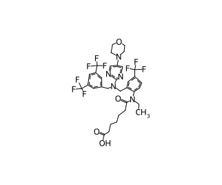 CCN(C(=O)CCCCCC(=O)O)c1ccc(C(F)(F)F)cc1CN(Cc1cc(C(F)(F)F)cc(C(F)(F)F)c1)c1ncc(N2CCOCC2)cn1